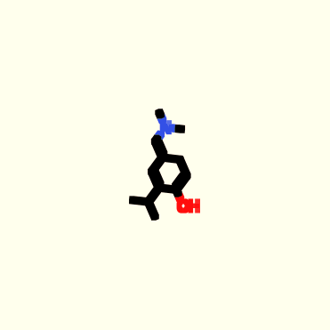 CC(C)C1=CC(=CN(C)C)CC=C1O